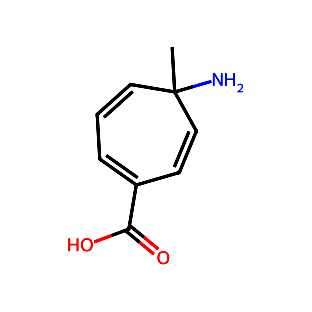 CC1(N)C=CC=C(C(=O)O)C=C1